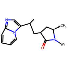 CC(CC1C[C@@H](C(F)(F)F)N(C(C)C)C1=O)c1cnc2ccccn12